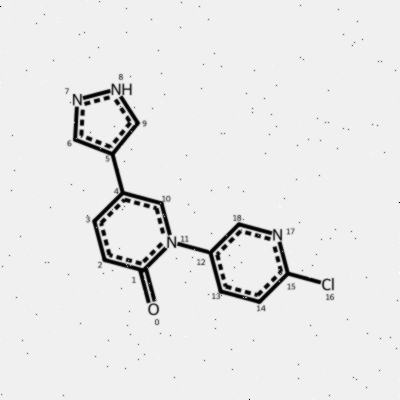 O=c1ccc(-c2cn[nH]c2)cn1-c1ccc(Cl)nc1